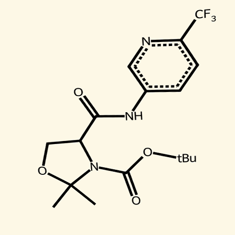 CC(C)(C)OC(=O)N1C(C(=O)Nc2ccc(C(F)(F)F)nc2)COC1(C)C